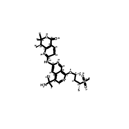 CCC(C)(N)c1cnc(O[C@H](C)C[C@@H](C)S(C)(=O)=O)c2cnc(Nc3ccc4c(n3)[C@@H](C)C(C)(C)OC4=O)cc12